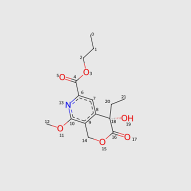 CCCOC(=O)c1cc2c(c(OC)n1)COC(=O)[C@]2(O)CC